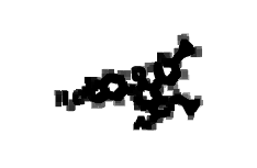 CC(=O)c1cn(CC2CC2)c2c(-c3ccc(C4CC4)nc3)c(=O)n(-c3ccc4nn(C)cc4c3)nc12